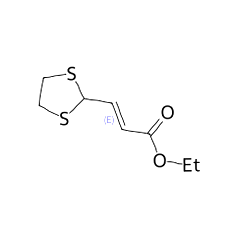 CCOC(=O)/C=C/C1SCCS1